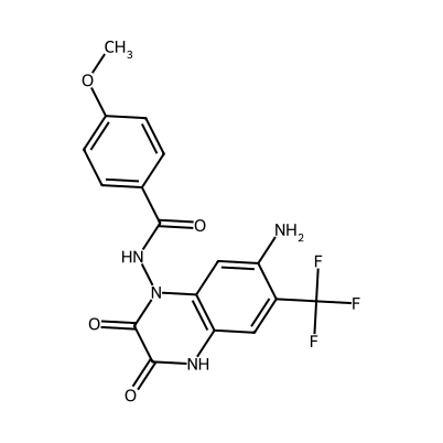 COc1ccc(C(=O)Nn2c(=O)c(=O)[nH]c3cc(C(F)(F)F)c(N)cc32)cc1